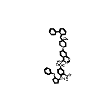 COC1(Cc2ccccc2-c2ccccc2)CCN(c2ccc3c(NS(=O)(=O)c4ccc(NC5CCCC5Sc5ccccc5)c([N+](=O)[O-])c4)ncnc3c2)CC1